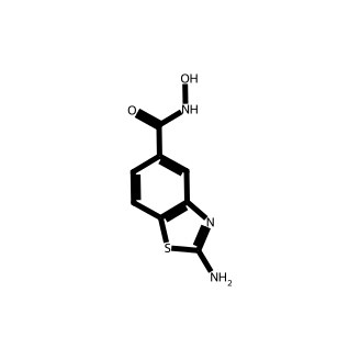 Nc1nc2cc(C(=O)NO)ccc2s1